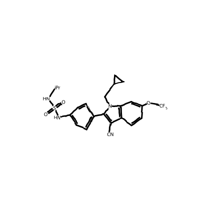 CC(C)NS(=O)(=O)Nc1ccc(-c2c(C#N)c3ccc(OC(F)(F)F)cc3n2CC2CC2)cc1